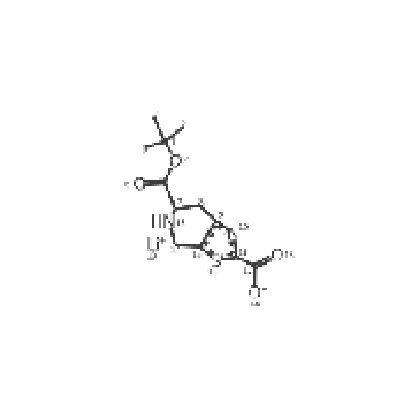 CC(C)(C)OC(=O)C1Cc2nc(C(=O)[O-])sc2CN1.[Li+]